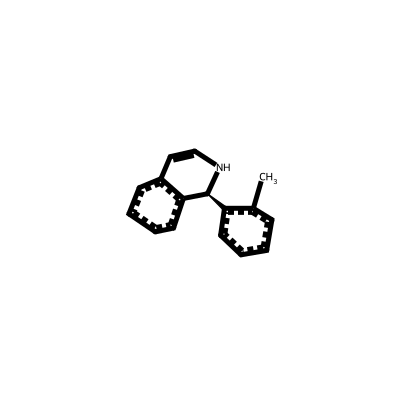 Cc1ccccc1[C@@H]1NC=Cc2ccccc21